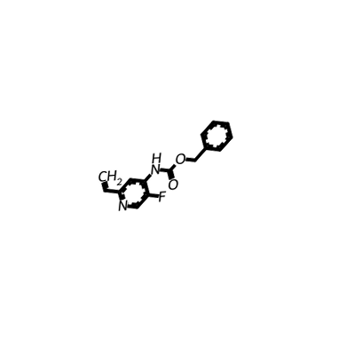 C=Cc1cc(NC(=O)OCc2ccccc2)c(F)cn1